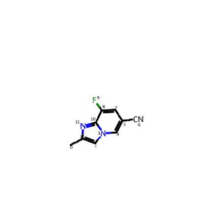 Cc1cn2cc(C#N)cc(F)c2n1